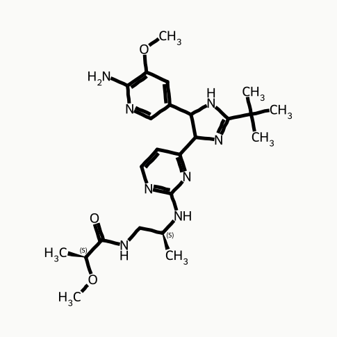 COc1cc(C2NC(C(C)(C)C)=NC2c2ccnc(N[C@@H](C)CNC(=O)[C@H](C)OC)n2)cnc1N